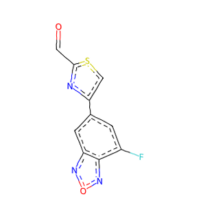 O=Cc1nc(-c2cc(F)c3nonc3c2)cs1